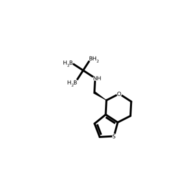 BC(B)(B)NC[C@H]1OCCc2sccc21